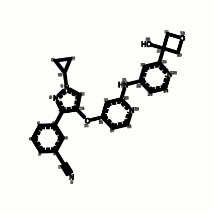 N#Cc1cccc(-c2nn(C3CC3)cc2Oc2ccnc(Nc3ccnc(C4(O)COC4)c3)c2)c1